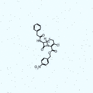 O=C(Cc1ccccc1)NC1C(=O)N2C(C(=O)OCc3ccc([N+](=O)[O-])cc3)=C(Cl)CS[C@@H]12